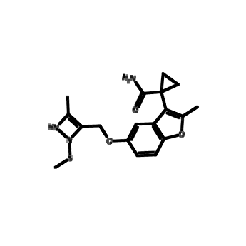 CSn1[nH]c(C)c1COc1ccc2oc(C)c(C3(C(N)=O)CC3)c2c1